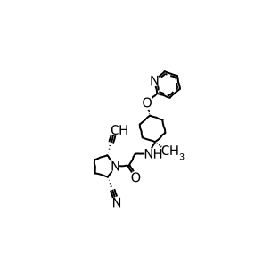 C#C[C@H]1CC[C@@H](C#N)N1C(=O)CN[C@]1(C)CC[C@@H](Oc2ccccn2)CC1